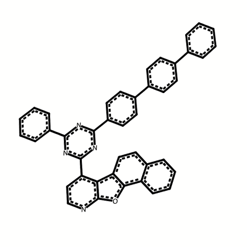 c1ccc(-c2ccc(-c3ccc(-c4nc(-c5ccccc5)nc(-c5ccnc6oc7c8ccccc8ccc7c56)n4)cc3)cc2)cc1